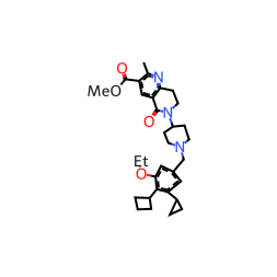 CCOc1cc(CN2CCC(N3CCc4nc(C)c(C(=O)OC)cc4C3=O)CC2)cc(C2CC2)c1C1CCC1